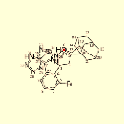 OC(CC1c2c(F)cccc2-c2cncn21)C12CC3CC(C1)C(CCNCc1nnn[nH]1)C(C3)C2